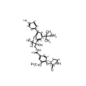 COc1cc(C(=O)NCC(O)(c2cc(C(C)(C)N)cc(-c3ccc(F)cc3)n2)C(F)(F)F)ccc1O[C@H]1CCNC1=O